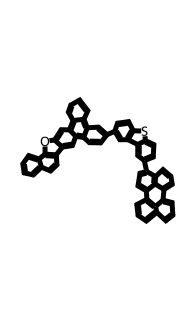 c1ccc2c(c1)ccc1c3cc4c5ccc(-c6ccc7sc8ccc(-c9ccc%10c%11cccc%12cccc(c%13cccc9c%13%10)c%12%11)cc8c7c6)cc5c5ccccc5c4cc3oc21